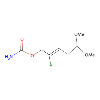 COC(CC=C(F)COC(N)=O)OC